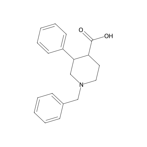 O=C(O)C1CCN(Cc2ccccc2)CC1c1ccccc1